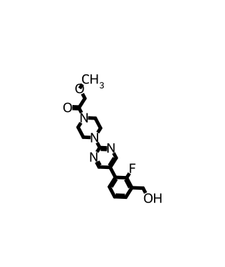 COCC(=O)N1CCN(c2ncc(-c3cccc(CO)c3F)cn2)CC1